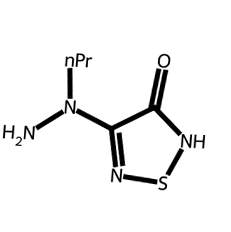 CCCN(N)c1ns[nH]c1=O